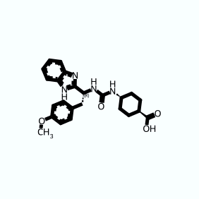 COc1ccc(C[C@@H](NC(=O)N[C@H]2CC[C@H](C(=O)O)CC2)c2nc3ccccc3[nH]2)cc1